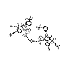 CC1=C(C(=O)OCCN(C)C)[C@@H](c2ccc(C#N)cc2)N(CC(=O)NCC[N+](C)(C)CCNC(=O)CN2C(=O)N(c3cccc(C(F)(F)F)c3)C(C)=C(C(=O)OCCN(C)C)[C@H]2c2ccc(C#N)cc2)C(=O)N1c1cccc(C(F)(F)F)c1